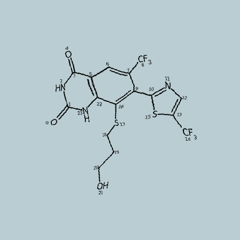 O=c1[nH]c(=O)c2cc(C(F)(F)F)c(-c3ncc(C(F)(F)F)s3)c(SCCCO)c2[nH]1